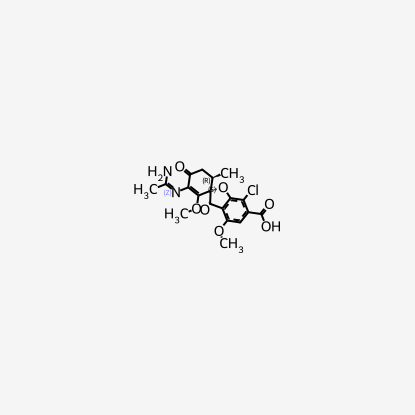 COC1=C(/N=C(/C)N)C(=O)C[C@@H](C)[C@]12Oc1c(Cl)c(C(=O)O)cc(OC)c1C2=O